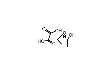 CCO.CCO.O=C(O)C(=O)O